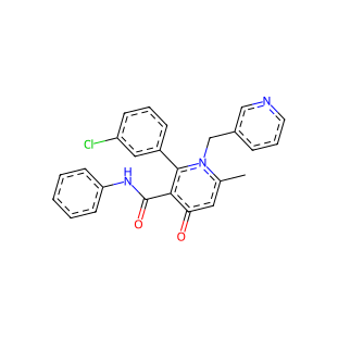 Cc1cc(=O)c(C(=O)Nc2ccccc2)c(-c2cccc(Cl)c2)n1Cc1cccnc1